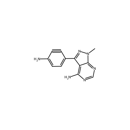 Cn1nc(-c2c#cc(N)cc2)c2c(N)ncnc21